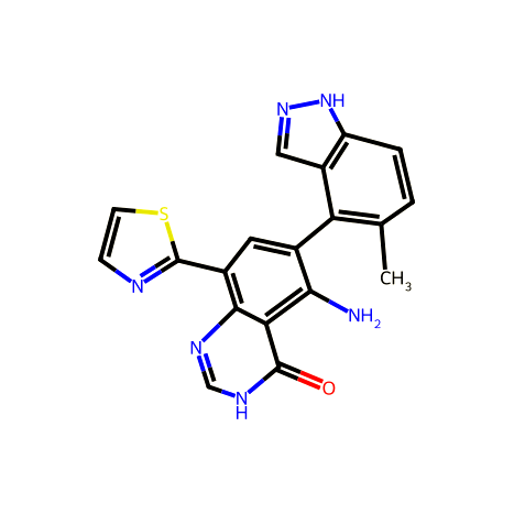 Cc1ccc2[nH]ncc2c1-c1cc(-c2nccs2)c2nc[nH]c(=O)c2c1N